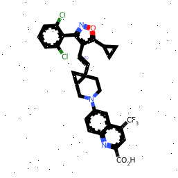 O=C(O)c1cc(C(F)(F)F)c2cc(N3CCC4(/C=C/c5c(-c6c(Cl)cccc6Cl)noc5C5CC5)CC4C3)ccc2n1